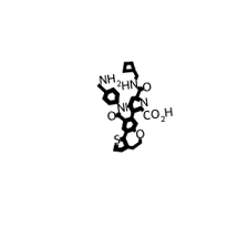 NCc1ccc(NC(=O)c2cc3c(cc2-c2ccc(C(=O)NCC4CCC4)nc2C(=O)O)OCCc2ccsc2-3)cc1